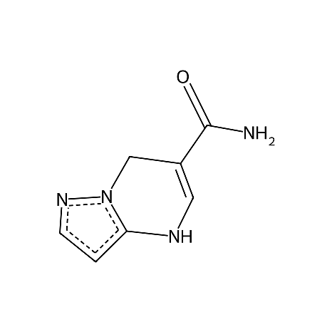 NC(=O)C1=CNc2ccnn2C1